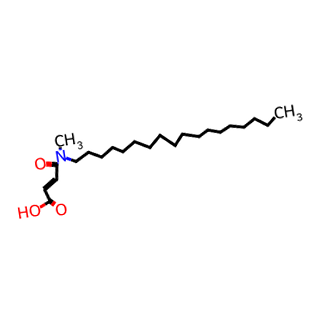 CCCCCCCCCCCCCCCCCCN(C)C(=O)/C=C/C(=O)O